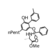 CCCCCc1cc(O)c(-c2cccc(C)c2)c(OP(=O)(N[C@@H](C)C(=O)OC)c2ccccc2)c1